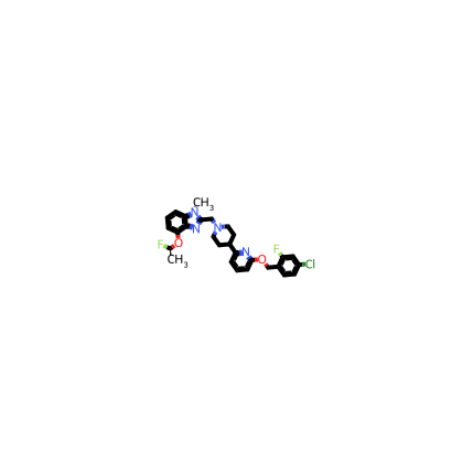 C[C@H](F)Oc1cccc2c1nc(CN1CCC(c3cccc(OCc4ccc(Cl)cc4F)n3)CC1)n2C